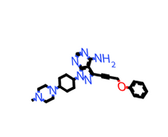 CN1CCN(C2CCC(n3nc(C#CCOc4ccccc4)c4c(N)ncnc43)CC2)CC1